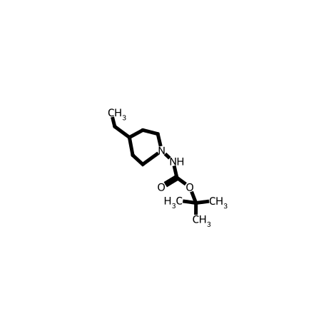 CCC1CCN(NC(=O)OC(C)(C)C)CC1